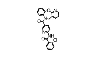 O=C(Nc1ccc(C(=O)N2Cc3cccnc3Oc3ccccc32)cn1)c1ccccc1Cl